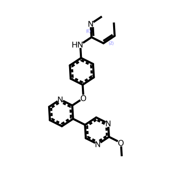 C/C=C\C(=N/C)Nc1ccc(Oc2ncccc2-c2cnc(OC)nc2)cc1